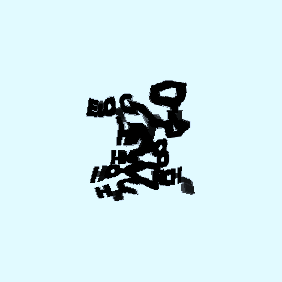 CCOC(=O)C[C@H](NC(=O)Nc1c(O)c(C)cn(C)c1=O)c1cccn1-c1ccccc1